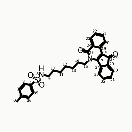 Cc1ccc(S(=O)(=O)NCCCCCCCn2c3c(c4ccccc4c2=O)C(=O)c2ccccc2-3)cc1